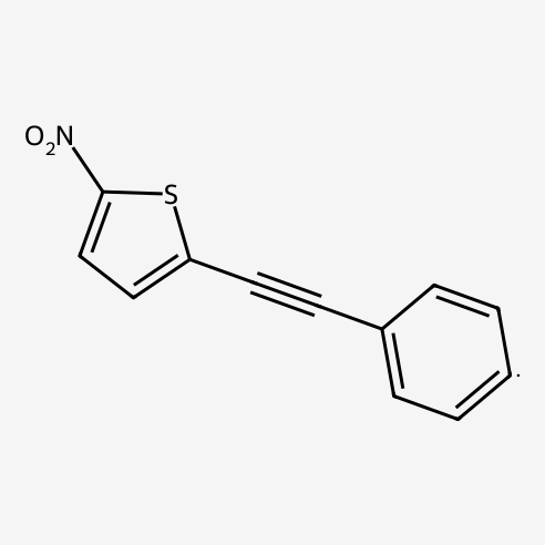 O=[N+]([O-])c1ccc(C#Cc2cc[c]cc2)s1